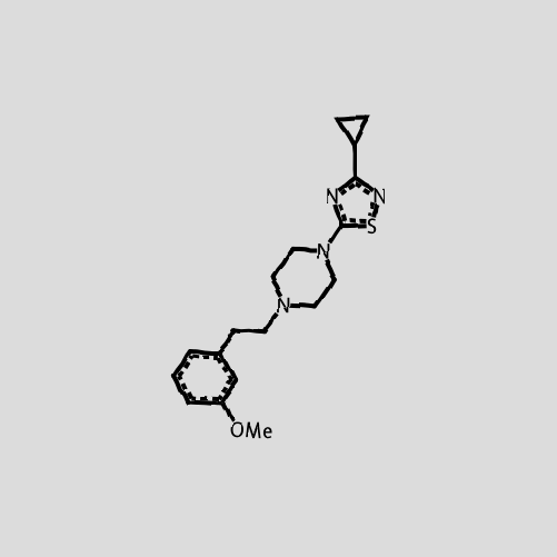 COc1cccc(CCN2CCN(c3nc(C4CC4)ns3)CC2)c1